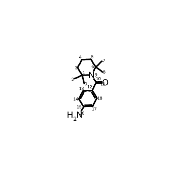 CC1(C)CCCC(C)(C)N1C(=O)c1ccc(N)cc1